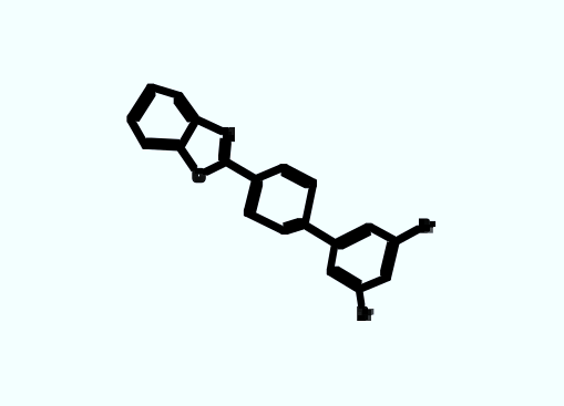 Brc1cc(Br)cc(-c2ccc(-c3nc4ccccc4o3)cc2)c1